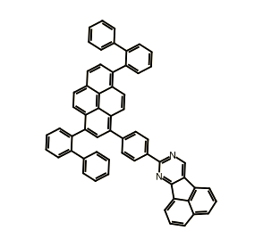 c1ccc(-c2ccccc2-c2ccc3ccc4c(-c5ccccc5-c5ccccc5)cc(-c5ccc(-c6ncc7c(n6)-c6cccc8cccc-7c68)cc5)c5ccc2c3c54)cc1